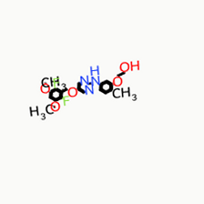 COc1cc(OC)c(F)c(COc2cnc(Nc3ccc(C)c(OCCO)c3)nc2)c1F